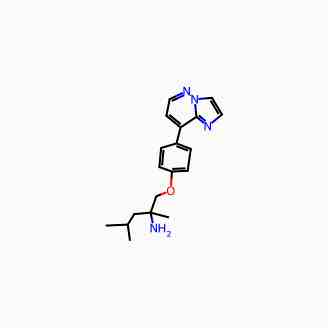 CC(C)CC(C)(N)COc1ccc(-c2ccnn3ccnc23)cc1